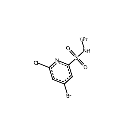 CCCNS(=O)(=O)c1cc(Br)cc(Cl)n1